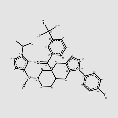 CC(C)n1ncc([S+]([O-])N2CCC3Cc4c(cnn4-c4ccc(F)cc4)CC3(C(=O)c3cc(C(F)(F)F)ccn3)C2)n1